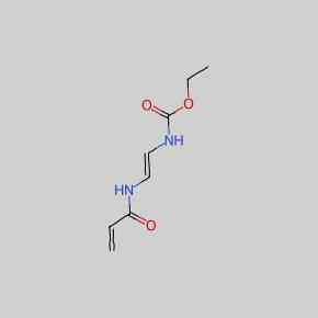 C=CC(=O)NC=CNC(=O)OCC